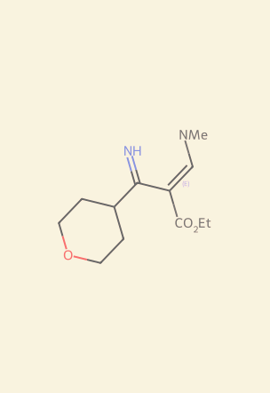 CCOC(=O)/C(=C/NC)C(=N)C1CCOCC1